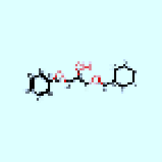 OC(COCC1CCCCC1)COc1ccccc1